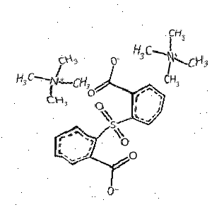 C[N+](C)(C)C.C[N+](C)(C)C.O=C([O-])c1ccccc1S(=O)(=O)c1ccccc1C(=O)[O-]